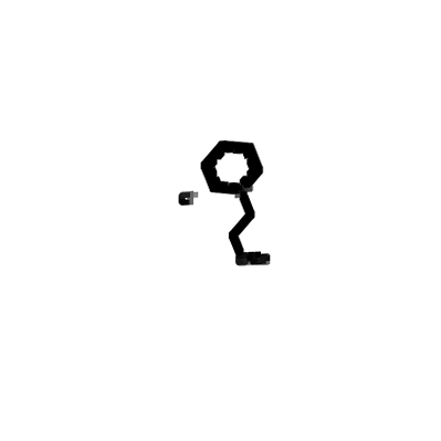 COCC[n+]1ccccc1.[Cl-]